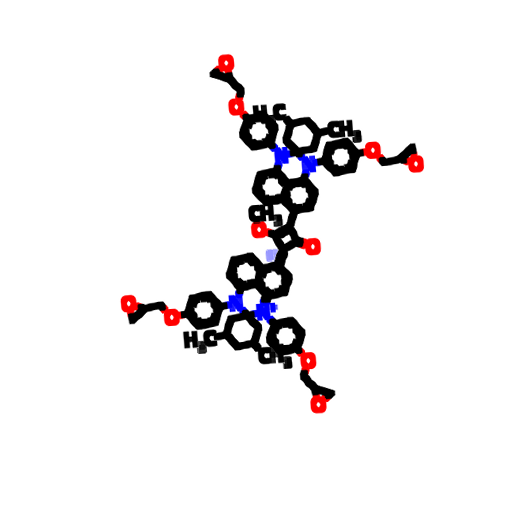 COC1=C(c2ccc3c4c(cccc24)N(c2ccc(OCC4CO4)cc2)C2(CC(C)CC(C)C2)N3c2ccc(OCC3CO3)cc2)C(=O)/C1=c1\ccc2c3c(cccc13)N(c1ccc(OCC3CO3)cc1)C1(CC(C)CC(C)C1)[N+]=2c1ccc(OCC2CO2)cc1